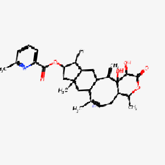 C=C1C2CC3C(C(C)C)C(OC(=O)c4cccc(C)n4)CC3(C)CC2/C(C)=C\CC2C(C)OC(=O)C(O)C12O